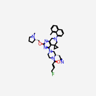 Cc1cccc2cccc(N3Cc4nc(OC[C@@H]5CCCN5C)nc(N5CCN(C(=O)/C=C/CF)[C@@H](CC#N)C5)c4C4(CC4)C3)c12